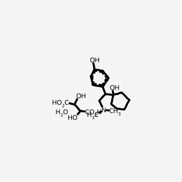 CN(C)CC(c1ccc(O)cc1)C1(O)CCCCC1.O.O=C(O)C(O)C(O)C(=O)O